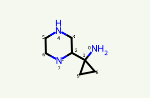 NC1(C2CNCC[N]2)CC1